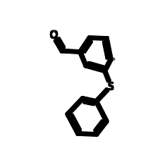 O=Cc1cc[c]c(Sc2ccccc2)c1